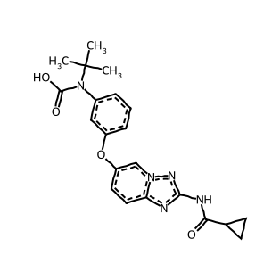 CC(C)(C)N(C(=O)O)c1cccc(Oc2ccc3nc(NC(=O)C4CC4)nn3c2)c1